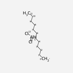 [CH2]CCCCCCCCCCC.[Cl][AlH][Cl]